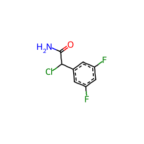 NC(=O)C(Cl)c1cc(F)cc(F)c1